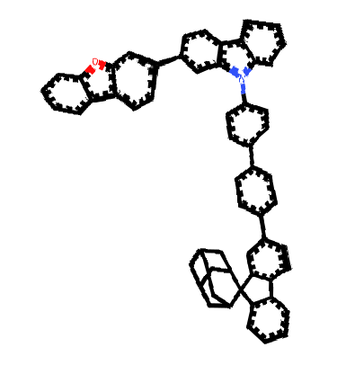 c1ccc2c(c1)-c1ccc(-c3ccc(-c4ccc(-n5c6ccccc6c6ccc(-c7ccc8c(c7)oc7ccccc78)cc65)cc4)cc3)cc1C21C2CC3CC(C2)CC1C3